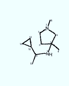 CC(NC1(C)CCN(C)C1)C1CC1